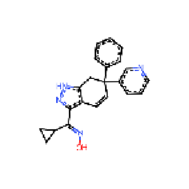 ON=C(c1n[nH]c2c1C=CC(c1ccccc1)(c1cccnc1)C2)C1CC1